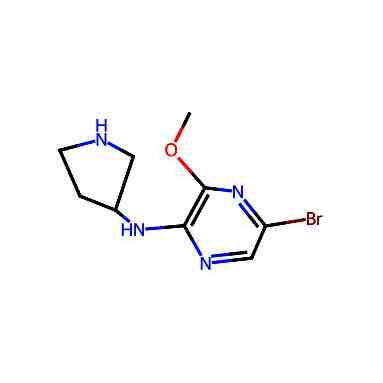 COc1nc(Br)cnc1NC1CCNC1